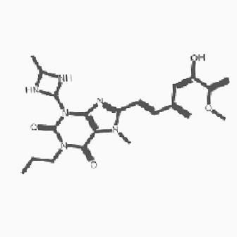 C=C(/C=C/c1nc2c(c(=O)n(CCC)c(=O)n2C2NC(C)N2)n1C)/C=C(/O)C(=C)OC